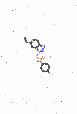 C=Cc1ccc2nnn(OS(=O)(=O)c3ccc(Cl)cc3)c2c1